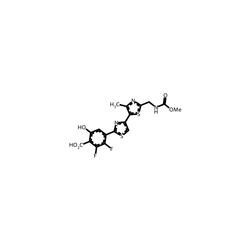 COC(=O)NCc1nc(C)c(-c2csc(-c3cc(O)c(C(=O)O)c(F)c3F)n2)s1